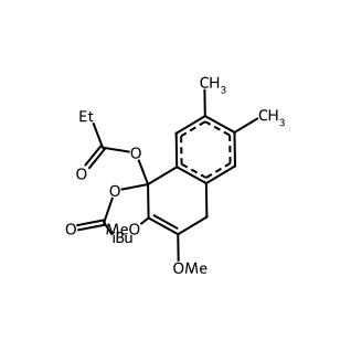 CCC(=O)OC1(OC(=O)C(C)CC)C(OC)=C(OC)Cc2cc(C)c(C)cc21